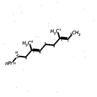 C/C=C(\C)CC/C=C(\C)CSCCC